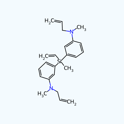 C=CCN(C)c1cccc([Si](C)(C=C)c2cccc(N(C)CC=C)c2)c1